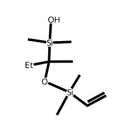 C=C[Si](C)(C)OC(C)(CC)[Si](C)(C)O